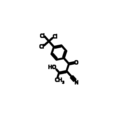 CC(O)=C(C#N)C(=O)c1ccc(C(Cl)(Cl)Cl)cc1